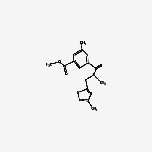 COC(=O)c1cc(C)cc(C(=O)N(C)Cc2nc(C)cs2)c1